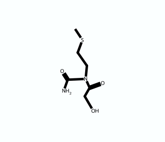 CSCCN(C(N)=O)C(=O)CO